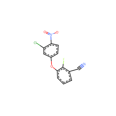 N#Cc1cccc(Oc2ccc([N+](=O)[O-])c(Cl)c2)c1F